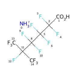 N.O=C(O)C(F)(F)C(F)(F)C(F)(F)C(F)(C(F)(F)F)C(F)(F)F